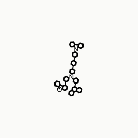 c1cc(-c2cc3ccccc3c3ccccc23)cc(N(c2ccc(-c3ccc(-c4ccc(-n5c6ccccc6c6ccccc65)cc4)cc3)cc2)c2cccc(-c3cccc4oc5ccccc5c34)c2)c1